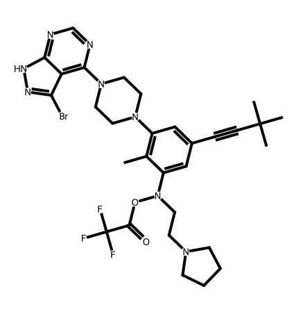 Cc1c(N2CCN(c3ncnc4[nH]nc(Br)c34)CC2)cc(C#CC(C)(C)C)cc1N(CCN1CCCC1)OC(=O)C(F)(F)F